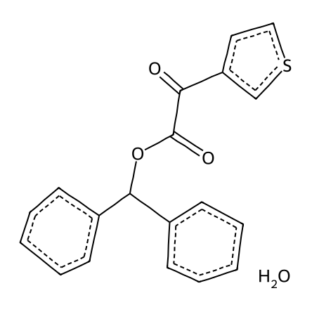 O.O=C(OC(c1ccccc1)c1ccccc1)C(=O)c1ccsc1